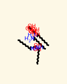 CCCCCCCCCC(C)(C)N.CCCCCCCCCC(C)(C)N.CCCCCCCCCC(C)(C)NCC(O)(O)NC(C)(C)CCCCCCCCC.O=C(O)C(=O)O.O=C(O)C(=O)O